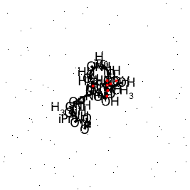 CC[C@H](C)[C@@H]1NC(=O)CNC(=O)[C@@H]2Cc3c([nH]c4ccccc34)SC[C@H](NC(=O)CNC1=O)C(=O)N[C@@H](CC(=O)NCc1ccc(NC(=O)[C@H](C)NC(=O)[C@@H](NC(=O)CCN3C(=O)C=CC3=O)C(C)C)cc1)C(=O)N1C[C@H](O)C[C@H]1C(=O)N[C@@H]([C@@H](C)[C@@H](O)CO)C(=O)N2